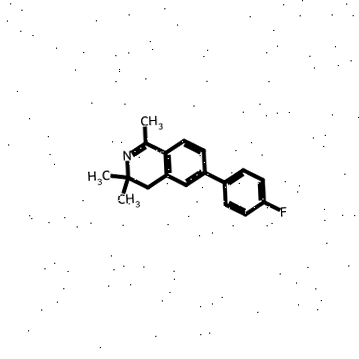 CC1=NC(C)(C)Cc2cc(-c3ccc(F)cc3)ccc21